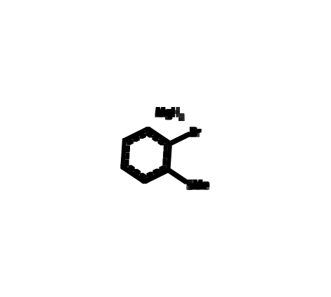 CSc1ccccc1Br.[MgH2]